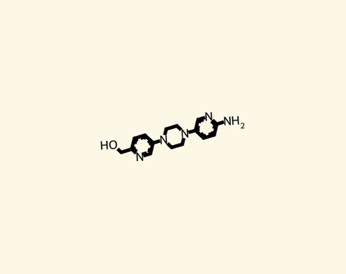 Nc1ccc(N2CCN(c3ccc(CO)nc3)CC2)cn1